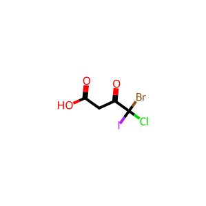 O=C(O)CC(=O)C(Cl)(Br)I